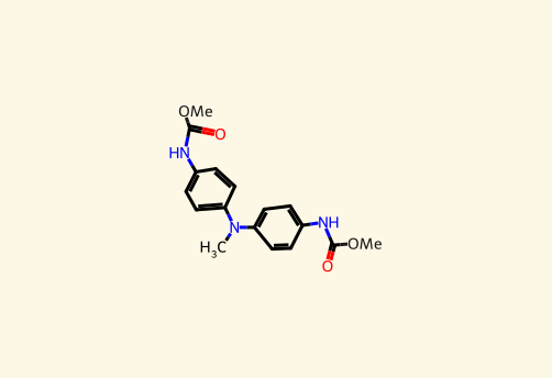 COC(=O)Nc1ccc(N(C)c2ccc(NC(=O)OC)cc2)cc1